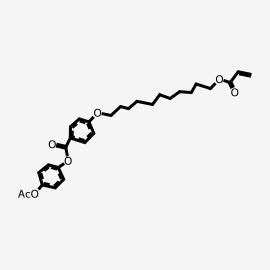 C=CC(=O)OCCCCCCCCCCCOc1ccc(C(=O)Oc2ccc(OC(C)=O)cc2)cc1